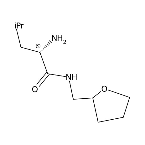 CC(C)C[C@H](N)C(=O)NCC1CCCO1